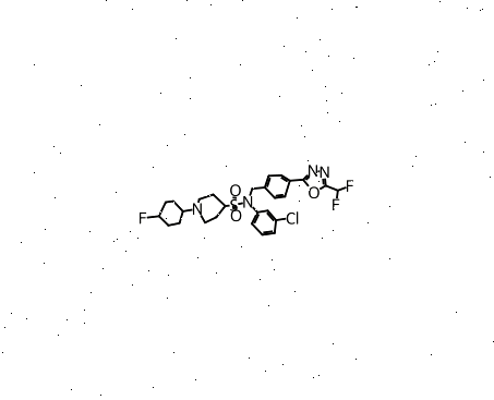 O=S(=O)(C1CCN(C2CCC(F)CC2)CC1)N(Cc1ccc(-c2nnc(C(F)F)o2)cc1)c1cccc(Cl)c1